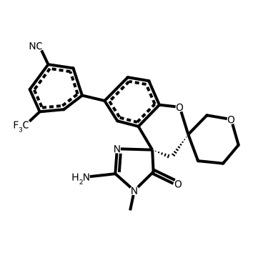 CN1C(=O)[C@@]2(C[C@]3(CCCOC3)Oc3ccc(-c4cc(C#N)cc(C(F)(F)F)c4)cc32)N=C1N